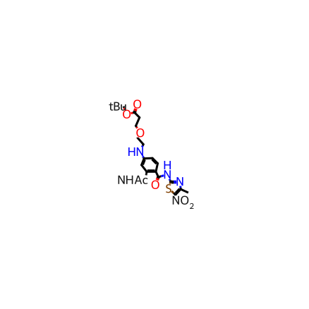 CC(=O)Nc1cc(NCCOCCC(=O)OC(C)(C)C)ccc1C(=O)Nc1nc(C)c([N+](=O)[O-])s1